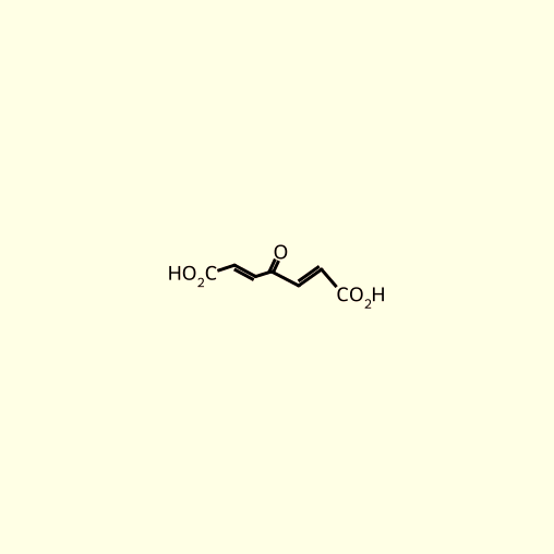 O=C(O)C=CC(=O)C=CC(=O)O